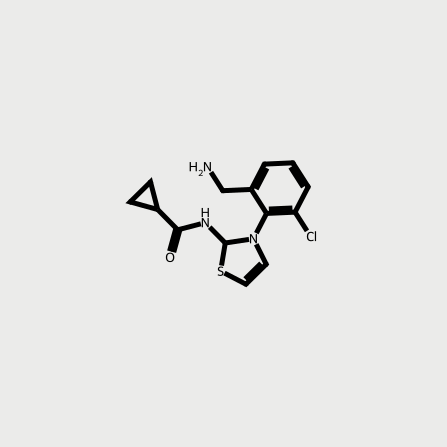 NCc1cccc(Cl)c1N1C=CSC1NC(=O)C1CC1